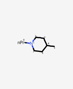 [CH2]CCN1CCC(C)CC1